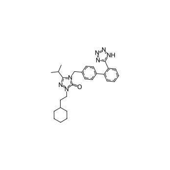 CC(C)c1nn(CCC2CCCCC2)c(=O)n1Cc1ccc(-c2ccccc2-c2nnn[nH]2)cc1